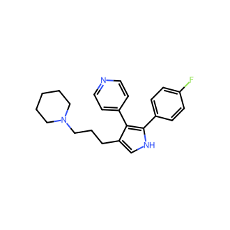 Fc1ccc(-c2[nH]cc(CCCN3CCCCC3)c2-c2ccncc2)cc1